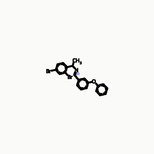 CC(/N=C/c1cccc(Oc2ccccc2)c1)c1ccc(Br)cc1Br